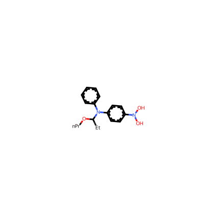 CCCOC(CC)N(c1ccccc1)c1ccc(N(O)O)cc1